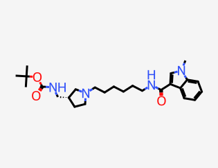 Cn1cc(C(=O)NCCCCCCN2CC[C@H](CNC(=O)OC(C)(C)C)C2)c2ccccc21